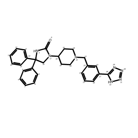 O=C1NC(c2ccccc2)(c2ccccc2)CN1C1CCN(Cc2cccc(-c3nnn[nH]3)c2)CC1